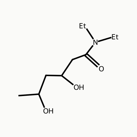 CCN(CC)C(=O)CC(O)CC(C)O